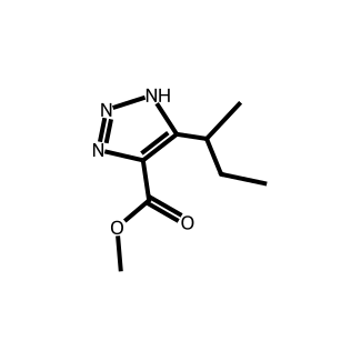 CCC(C)c1[nH]nnc1C(=O)OC